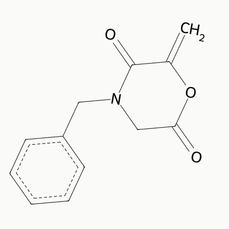 C=C1OC(=O)CN(Cc2ccccc2)C1=O